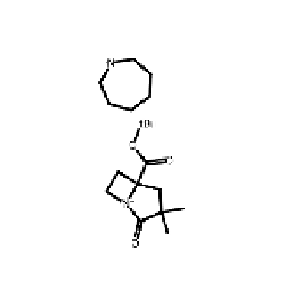 C1CCC[N]CC1.CC(C)(C)OC(=O)C12CC[N+]1C(=O)C(C)(C)C2